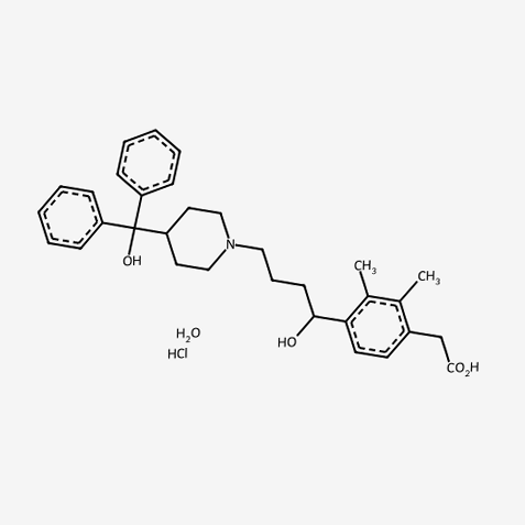 Cc1c(CC(=O)O)ccc(C(O)CCCN2CCC(C(O)(c3ccccc3)c3ccccc3)CC2)c1C.Cl.O